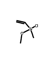 C=C[Si](C)(Cl)OC